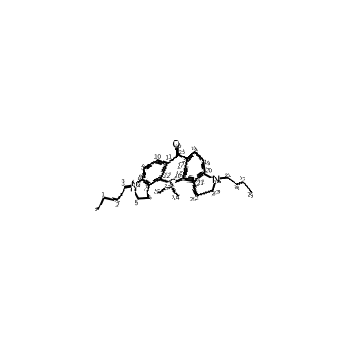 CCCCN1CCc2c1ccc1c2S(C)(C)c2c(ccc3c2CCN3CCCC)C1=O